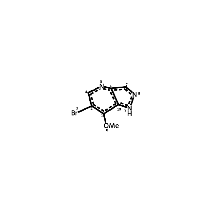 COc1c(Br)cnc2cn[nH]c12